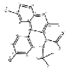 CC(=O)C(OC(C)(C)C)c1c(C)cc2ccc(Cl)cc2c1-c1ccc(Cl)cc1